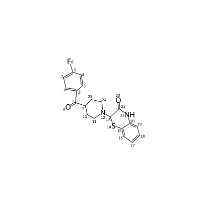 O=C(c1ccc(F)cc1)C1CCN(C2Sc3ccccc3NC2=O)CC1